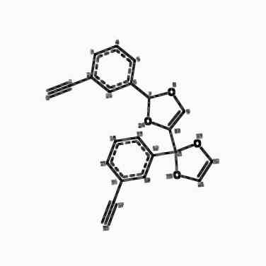 C#Cc1cccc(C2OC=C(C3(c4cccc(C#C)c4)OC=CO3)O2)c1